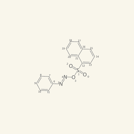 O=S(=O)(ON=Nc1ccccc1)c1cccc2ccccc12